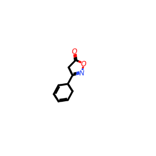 O=C1CC(C2C=CC=CC2)=NO1